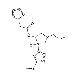 CCCN1CC(OC(=O)Cc2ccco2)[N+]([O-])(c2nnc(SC)s2)C1